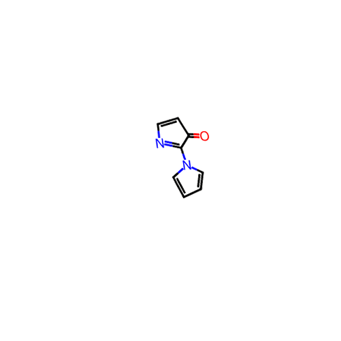 O=C1C=CN=C1n1cccc1